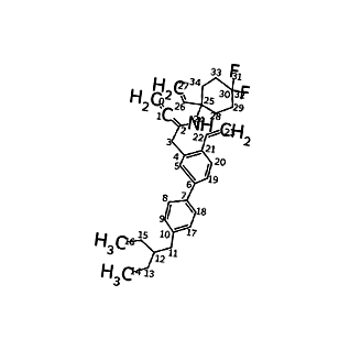 C=C=C(Cc1cc(-c2ccc(CC(CC)CC)cc2)ccc1C=C)NC1(C=C)CCC(F)(F)CC1